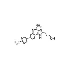 Cc1ncc(-c2ccc3c(c2)nc(N)c2nc(CCCO)[nH]c23)cn1